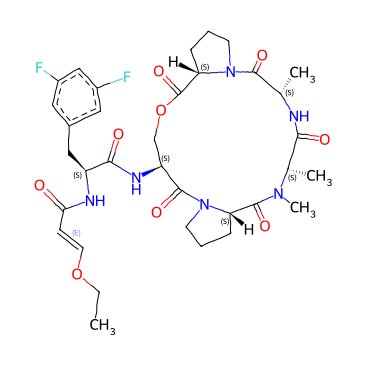 CCO/C=C/C(=O)N[C@@H](Cc1cc(F)cc(F)c1)C(=O)N[C@H]1COC(=O)[C@@H]2CCCN2C(=O)[C@H](C)NC(=O)[C@H](C)N(C)C(=O)[C@@H]2CCCN2C1=O